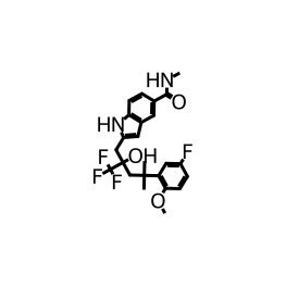 CNC(=O)c1ccc2[nH]c(CC(O)(CC(C)(C)c3cc(F)ccc3OC)C(F)(F)F)cc2c1